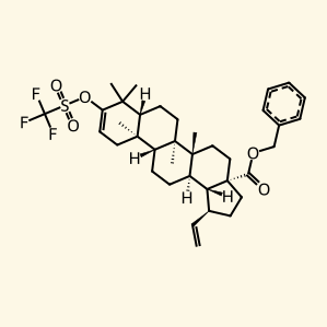 C=C[C@@H]1CC[C@]2(C(=O)OCc3ccccc3)CC[C@]3(C)[C@H](CC[C@@H]4[C@@]5(C)CC=C(OS(=O)(=O)C(F)(F)F)C(C)(C)[C@@H]5CC[C@]43C)[C@@H]12